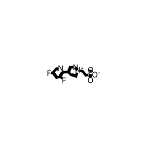 O=S(=O)([O-])CC[n+]1ccc(-c2ncc(F)cc2F)cn1